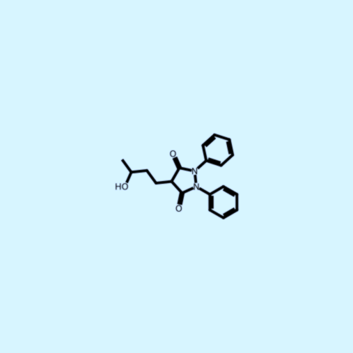 CC(O)CCC1C(=O)N(c2ccccc2)N(c2ccccc2)C1=O